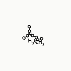 CC1(C)c2cc(-c3ccc(N(c4ccc(-c5ccccc5)cc4)c4ccc(-c5ccccc5)cc4)cc3)ccc2-c2c1ccc1ccccc21